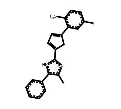 Cc1nc(C2=CC=C(c3cc(F)ccc3C(F)(F)F)C2)[nH]c1-c1ccccc1